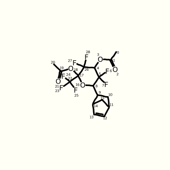 CC(=O)OC1C(F)(F)C(C2CC3C=CC2C3)OC(OC(C)=O)(C(F)(F)F)C1(F)F